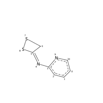 c1ccc(N=C2CSS2)nc1